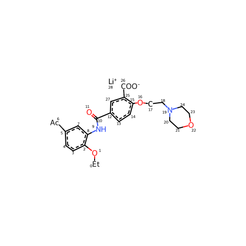 CCOc1ccc(C(C)=O)cc1NC(=O)c1ccc(OCCN2CCOCC2)c(C(=O)[O-])c1.[Li+]